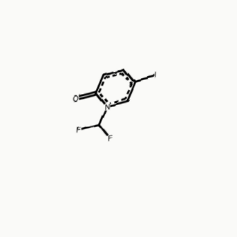 O=c1ccc(I)cn1C(F)F